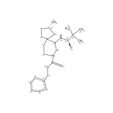 C[C@H]1CCC2(CCN(C(=O)OCc3ccccc3)CC2N[S@+]([O-])C(C)(C)C)C1